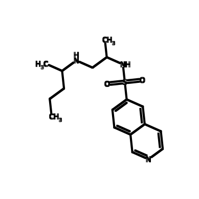 CCCC(C)NCC(C)NS(=O)(=O)c1ccc2cnccc2c1